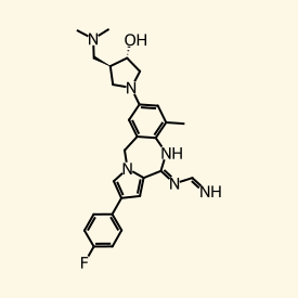 Cc1cc(N2C[C@@H](CN(C)C)[C@H](O)C2)cc2c1N/C(=N\C=N)c1cc(-c3ccc(F)cc3)cn1C2